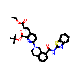 CCOC(=O)/C=C/c1ccc(N2CCc3cccc(C(=O)Nc4nc5ccccc5s4)c3C2)nc1C(=O)OC(C)(C)C